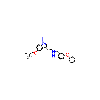 FC(F)(F)COc1ccc2[nH]cc(CCNCc3cccc(Oc4ccccc4)c3)c2c1